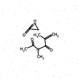 C=C(C)C(=O)N(C)C(C)=O.O=C1CN1